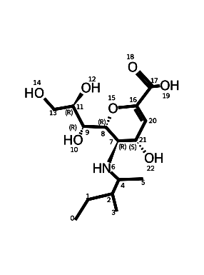 CCC(C)C(C)N[C@H]1[C@H]([C@H](O)[C@H](O)CO)OC(C(=O)O)=C[C@@H]1O